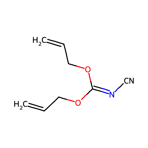 C=CCOC(=NC#N)OCC=C